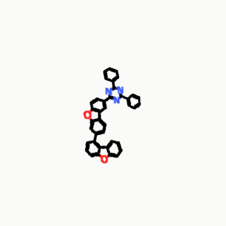 c1ccc(-c2nc(-c3ccccc3)nc(-c3ccc4oc5cc(-c6cccc7oc8ccccc8c67)ccc5c4c3)n2)cc1